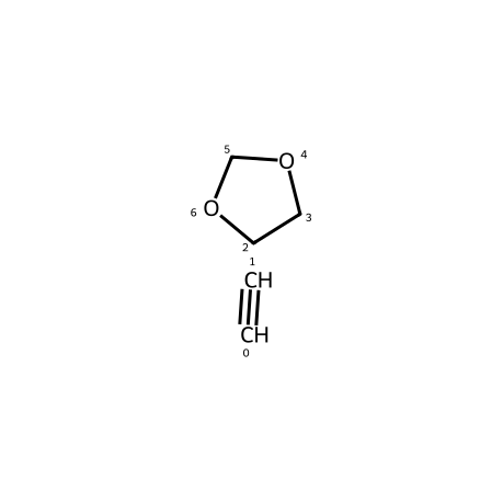 C#C.C1COCO1